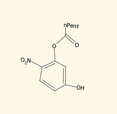 CCCCCC(=O)Oc1cc(O)ccc1[N+](=O)[O-]